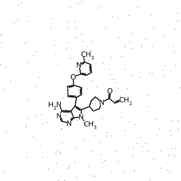 C=CC(=O)N1CCC(c2c(-c3ccc(Oc4cccc(C)n4)cc3)c3c(N)ncnc3n2C)CC1